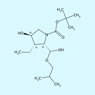 CC[C@H]1[C@@H](C(O)OCC(C)C)N(C(=O)OC(C)(C)C)C[C@@H]1O